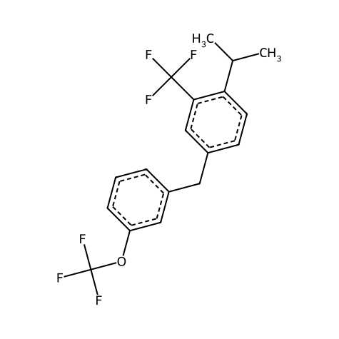 CC(C)c1ccc(Cc2cccc(OC(F)(F)F)c2)cc1C(F)(F)F